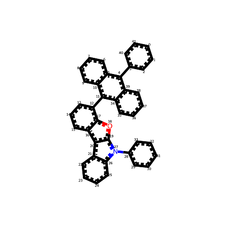 c1ccc(-c2c3ccccc3c(-c3cccc4c3oc3c4c4ccccc4n3-c3ccccc3)c3ccccc23)cc1